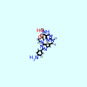 C[C@H](c1cc2nc(-c3ccc(N)cc3)nc(N3CCOCC3)c2s1)N(C)c1ncc(C(=O)NO)cn1